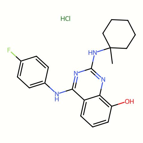 CC1(Nc2nc(Nc3ccc(F)cc3)c3cccc(O)c3n2)CCCCC1.Cl